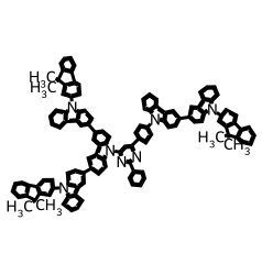 CC1(C)c2ccccc2-c2ccc(-n3c4ccccc4c4cc(-c5ccc6c(c5)c5ccccc5n6-c5ccc(-c6cc(-n7c8ccc(-c9ccc%10c(c9)c9ccccc9n%10-c9ccc%10c(c9)C(C)(C)c9ccccc9-%10)cc8c8cc(-c9ccc%10c(c9)c9ccccc9n%10-c9ccc%10c(c9)C(C)(C)c9ccccc9-%10)ccc87)nc(-c7ccccc7)n6)cc5)ccc43)cc21